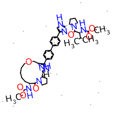 COC(=O)N[C@H]1CCCCCOCc2[nH]c(nc2-c2ccc(-c3ccc(-c4c[nH]c([C@@H]5CCCN5C(=O)[C@@H](NC(=O)OC)C(C)C)n4)cc3)cc2)[C@@H]2CCCN2C1=O